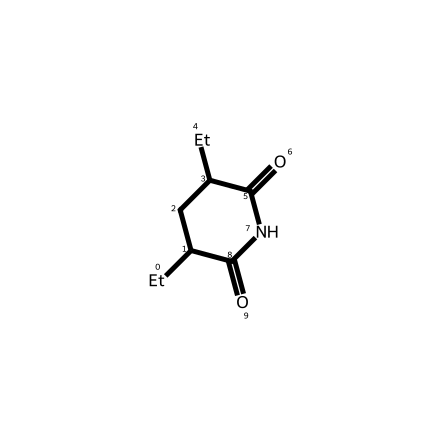 CCC1CC(CC)C(=O)NC1=O